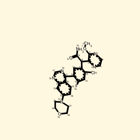 COc1nccnc1C(C(N)=O)c1cc(-c2ncnc3cc(N4CCOCC4)ccc23)c(F)cc1Cl